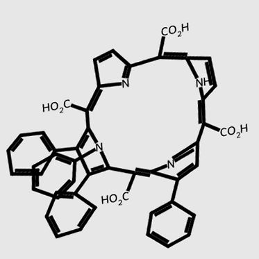 O=C(O)c1c2nc(c(C(=O)O)c3c(-c4ccccc4)c(-c4ccccc4)c(c(C(=O)O)c4nc(c(C(=O)O)c5ccc1[nH]5)C=C4c1ccccc1)n3-c1ccccc1)C=C2